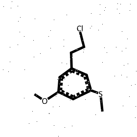 COc1cc(CCCl)cc(SC)c1